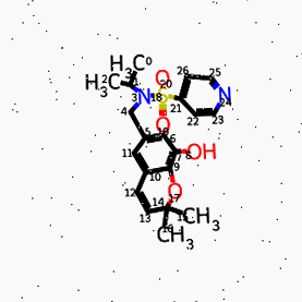 CC(C)N(Cc1cc(O)c2c(c1)C=CC(C)(C)O2)S(=O)(=O)c1ccncc1